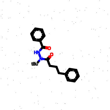 CC(C)(C)N(NC(=O)c1ccccc1)C(=O)CCCc1ccccc1